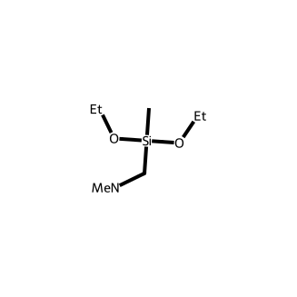 CCO[Si](C)(CNC)OCC